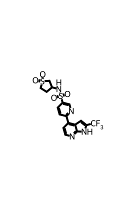 O=S1(=O)CCC(NS(=O)(=O)c2ccc(-c3ccnc4[nH]c(C(F)(F)F)cc34)nc2)C1